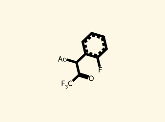 CC(=O)C(C(=O)C(F)(F)F)c1ccccc1F